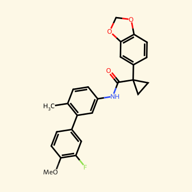 COc1ccc(-c2cc(NC(=O)C3(c4ccc5c(c4)OCO5)CC3)ccc2C)cc1F